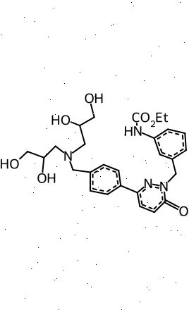 CCOC(=O)Nc1cccc(Cn2nc(-c3ccc(CN(CC(O)CO)CC(O)CO)cc3)ccc2=O)c1